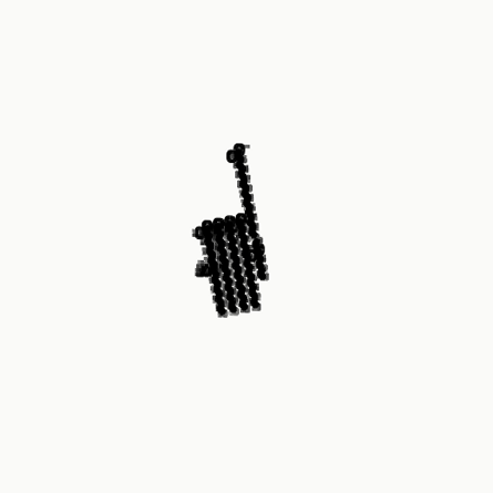 CCCCCC(=O)OCC.CCCCCCCCCCCCCCCCCC(=O)[O-].CCCCCCCCCCCCCCCCCC(=O)[O-].CCCCCCCCCCCCCCCCCC(=O)[O-].CCCCCCCCCCCCCCCCCC(=O)[O-].CCCCCCCCCCCCCCCCCC(=O)[O-].[Bi+3].[Zn+2]